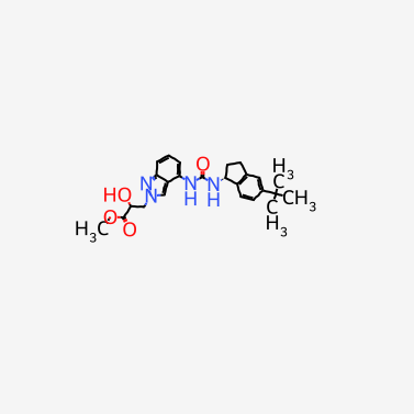 COC(=O)C(O)Cn1cc2c(NC(=O)N[C@@H]3CCc4cc(C(C)(C)C)ccc43)cccc2n1